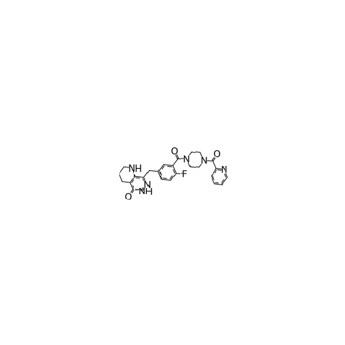 O=C(c1ccccn1)N1CCN(C(=O)c2cc(Cc3n[nH]c(=O)c4c3NCCC4)ccc2F)CC1